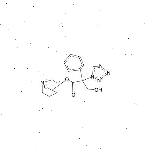 O=C(OC1CN2CCC1CC2)C(CO)(c1ccccc1)n1cnnn1